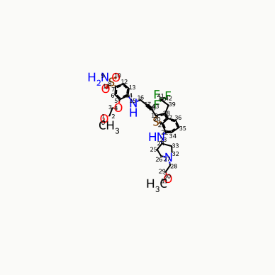 COCCOc1cc(S(N)(=O)=O)ccc1NCC#Cc1sc2c(NC3CCN(CCOC)CC3)cccc2c1CC(F)(F)F